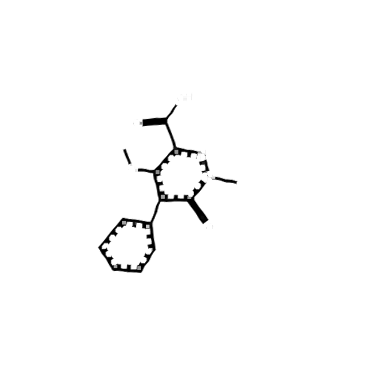 COc1c(C(=O)O)nn(C)c(=O)c1-c1ccccc1